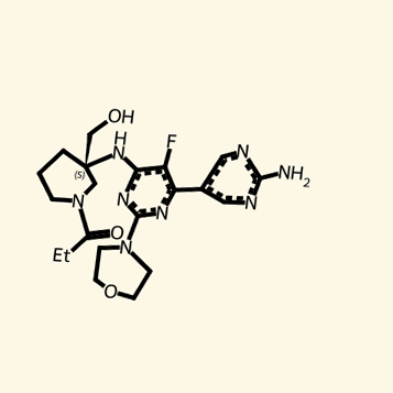 CCC(=O)N1CCC[C@](CO)(Nc2nc(N3CCOCC3)nc(-c3cnc(N)nc3)c2F)C1